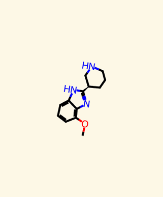 COc1cccc2[nH]c([C@@H]3CCCNC3)nc12